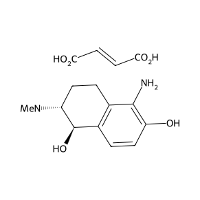 CN[C@@H]1CCc2c(ccc(O)c2N)[C@H]1O.O=C(O)C=CC(=O)O